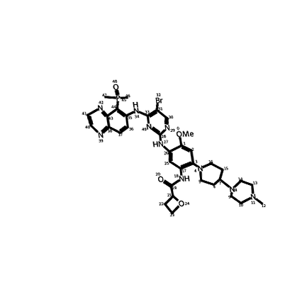 COc1cc(N2CCC(N3CCN(C)CC3)CC2)c(NC(=O)C2CCO2)cc1Nc1ncc(Br)c(Nc2ccc3nccnc3c2P(C)(C)=O)n1